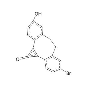 O=c1c2c1-c1ccc(Br)cc1CCc1cc(O)ccc1-2